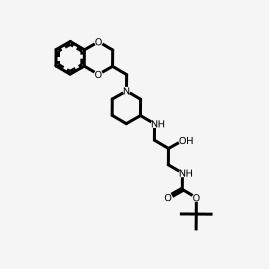 CC(C)(C)OC(=O)NCC(O)CNC1CCCN(CC2COc3ccccc3O2)C1